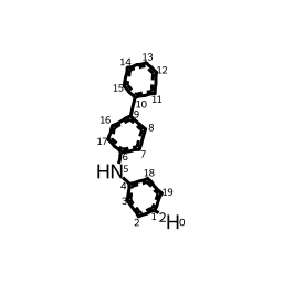 [2H]c1ccc(Nc2ccc(-c3ccccc3)cc2)cc1